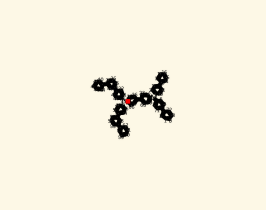 c1ccc(-c2ccc(N(c3ccc(-c4ccccc4)cc3)c3ccc(-c4ccc(N(c5ccc(-c6cccc(-c7ccccc7)c6)cc5)c5ccc(-c6cccc(-c7ccccc7)c6)cc5)cc4)cc3)cc2)cc1